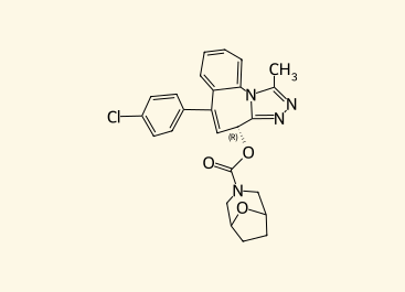 Cc1nnc2n1-c1ccccc1C(c1ccc(Cl)cc1)=C[C@H]2OC(=O)N1CC2CCC(C1)O2